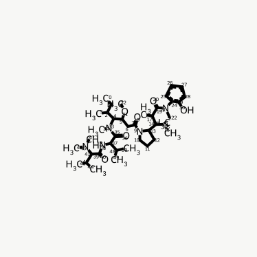 CCC(C)C(C(CC(=O)N1CCCC1C(SC)C(C)C(=O)N(CC)c1ccccc1O)OC)N(C)C(=O)C(NC(=O)C(C(C)C)N(C)C)C(C)C